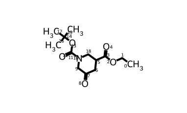 CCOC(=O)C1CC(=O)CN(C(=O)OC(C)(C)C)C1